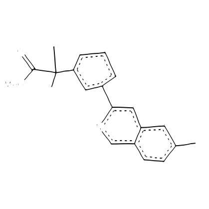 CCc1ccc2cnc(-c3cccc(C(C)(C)C(=O)OC)c3)cc2c1